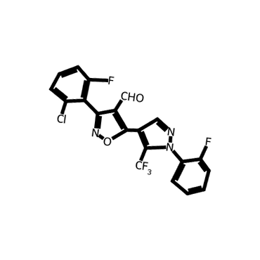 O=Cc1c(-c2c(F)cccc2Cl)noc1-c1cnn(-c2ccccc2F)c1C(F)(F)F